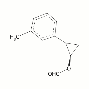 Cc1cccc(C2C[C@H]2OC=O)c1